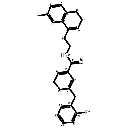 Cc1ccc2c(c1)C(CCNC(=O)C1=CCCC(Cc3ccccc3F)=C1)=CCC2